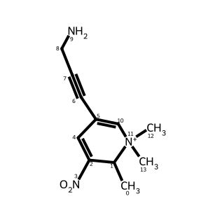 CC1C([N+](=O)[O-])=CC(C#CCN)=C[N+]1(C)C